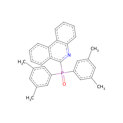 Cc1cc(C)cc(P(=O)(c2cc(C)cc(C)c2)c2nc3ccccc3c3ccccc23)c1